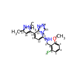 COc1cccc(F)c1CNc1ccc(-c2cc(C)nn2C)c2nncn12